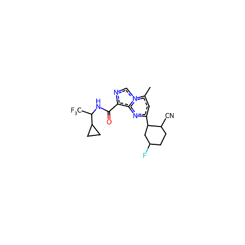 Cc1cc(C2CC(F)CCC2C#N)nc2c(C(=O)NC(C3CC3)C(F)(F)F)ncn12